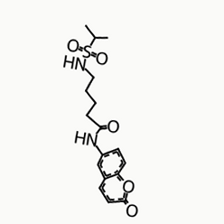 CC(C)S(=O)(=O)NCCCCC(=O)Nc1ccc2oc(=O)ccc2c1